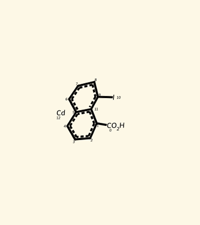 O=C(O)c1cccc2cccc(I)c12.[Cd]